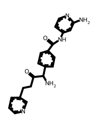 Nc1cc(NC(=O)c2ccc(C(N)C(=O)CCc3cccnc3)cc2)ccn1